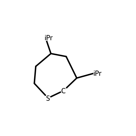 CC(C)C1CCSCC(C(C)C)C1